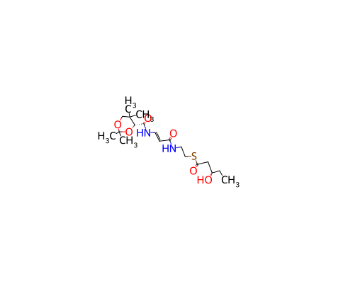 CC[C@@H](O)CC(=O)SCCNC(=O)C=CNC(=O)[C@@H]1OC(C)(C)OCC1(C)C